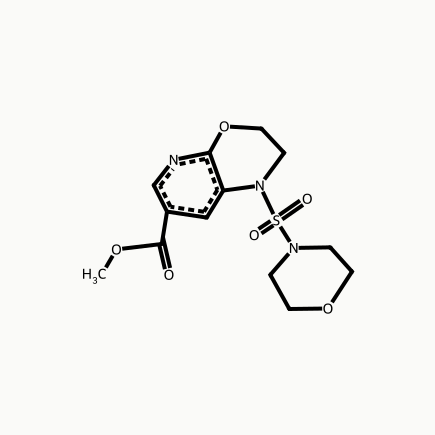 COC(=O)c1cnc2c(c1)N(S(=O)(=O)N1CCOCC1)CCO2